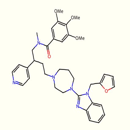 COc1cc(C(=O)N(C)CC(CCN2CCCN(c3nc4ccccc4n3Cc3ccco3)CC2)c2ccncc2)cc(OC)c1OC